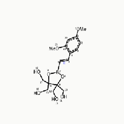 COc1ccc(/C=C/B2OC(CO)(CO)C(CO)(CO)O2)c(OC)c1